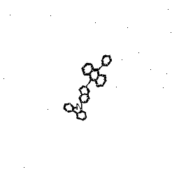 c1ccc(-c2c3ccccc3c(-c3ccc4cc(-n5c6ccccc6c6ccccc65)ccc4c3)c3ccccc23)cc1